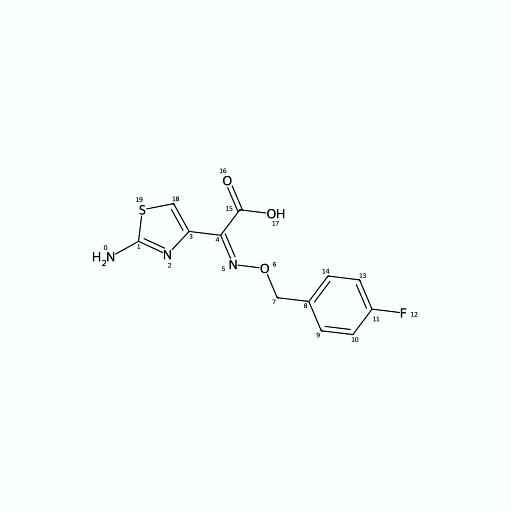 Nc1nc(/C(=N/OCc2ccc(F)cc2)C(=O)O)cs1